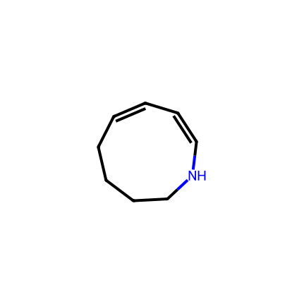 C1=CCCCCNC=C1